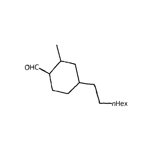 CCCCCCCCC1CCC(C=O)C(C)C1